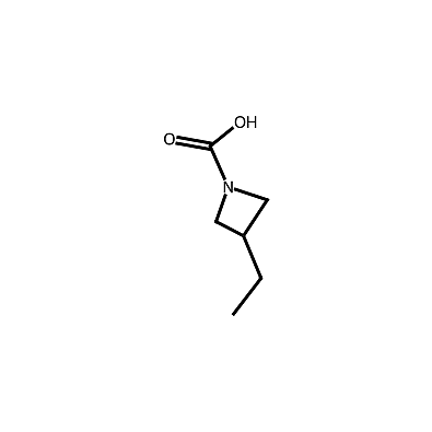 CCC1CN(C(=O)O)C1